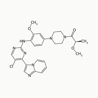 COc1cc(N2CCN(C(=O)[C@@H](C)OC)CC2)ccc1Nc1ncc(Cl)c(-c2cnc3ccccn23)n1